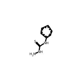 NNC(=S)Nc1ccccc1